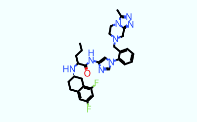 CCCC(N[C@H]1CCc2cc(F)cc(F)c2C1)C(=O)Nc1cn(-c2ccccc2CN2CCn3c(C)nnc3C2)cn1